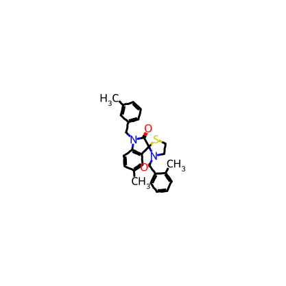 Cc1cccc(CN2C(=O)C3(SCCN3C(=O)c3ccccc3C)c3cc(C)ccc32)c1